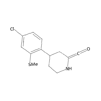 CSc1cc(Cl)ccc1C1CCNC(=C=O)C1